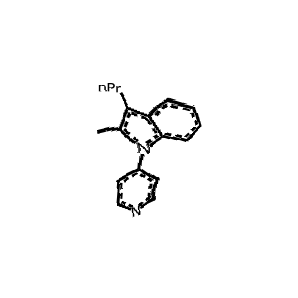 [CH2]CCc1c(C)n(-c2ccncc2)c2ccccc12